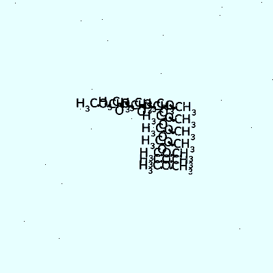 CCOC(C)=O.CCOC(C)=O.CCOC(C)=O.CCOC(C)=O.CCOC(C)=O.CCOC(C)=O.CCOCC.CCOCC.CCOCC.CCOCC